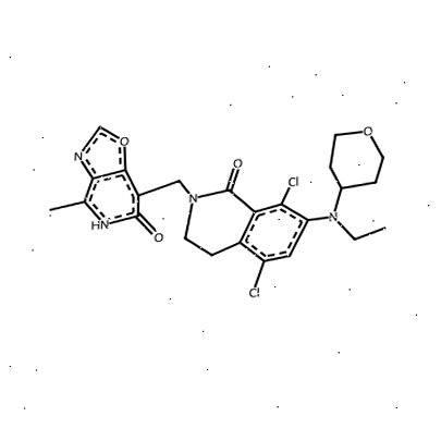 CCN(c1cc(Cl)c2c(c1Cl)C(=O)N(Cc1c(=O)[nH]c(C)c3ncoc13)CC2)C1CCOCC1